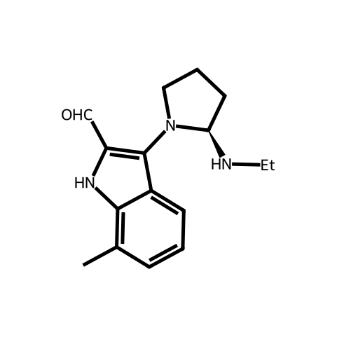 CCN[C@@H]1CCCN1c1c(C=O)[nH]c2c(C)cccc12